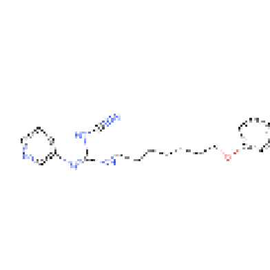 N#CN/C(=N\c1cccnc1)NCCCCCCCOc1ccccc1